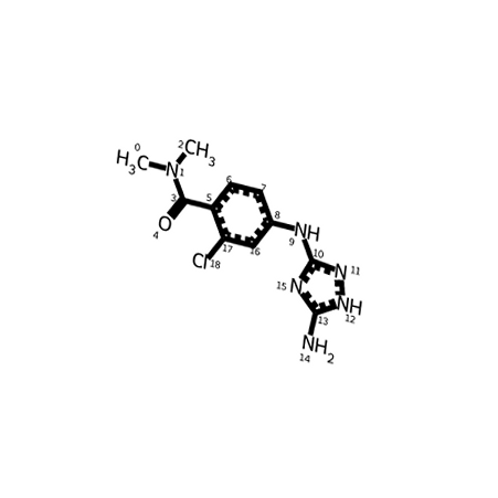 CN(C)C(=O)c1ccc(Nc2n[nH]c(N)n2)cc1Cl